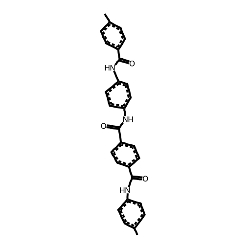 Cc1ccc(NC(=O)c2ccc(C(=O)Nc3ccc(NC(=O)c4ccc(C)cc4)cc3)cc2)cc1